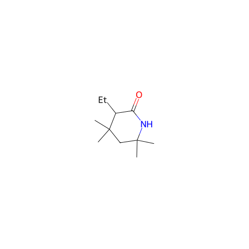 CCC1C(=O)NC(C)(C)CC1(C)C